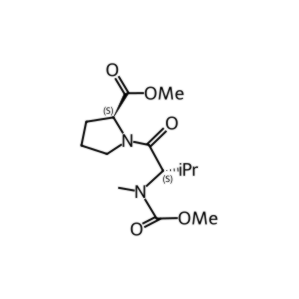 COC(=O)[C@@H]1CCCN1C(=O)[C@H](C(C)C)N(C)C(=O)OC